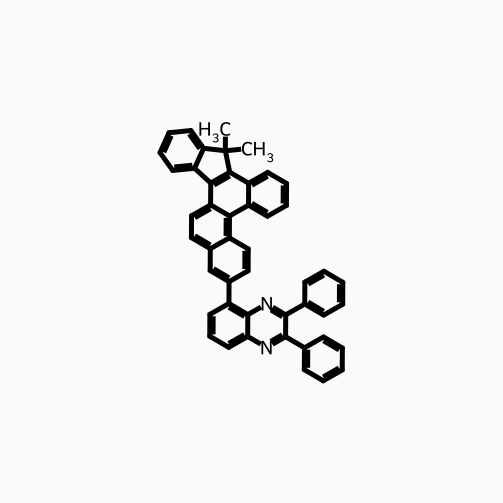 CC1(C)c2ccccc2-c2c1c1ccccc1c1c2ccc2cc(-c3cccc4nc(-c5ccccc5)c(-c5ccccc5)nc34)ccc21